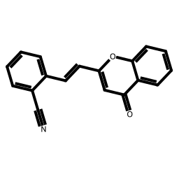 N#Cc1ccccc1/C=C/c1cc(=O)c2ccccc2o1